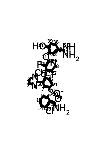 CN1CC=NC1c1cc([S+]([O-])c2cccc(Cl)c2C(N)=O)ccc1Oc1c(F)cnc(Oc2cc(C(=N)N)ccc2O)c1F